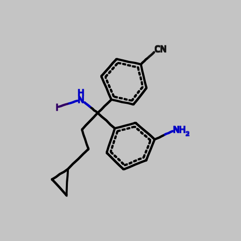 N#Cc1ccc(C(CCC2CC2)(NI)c2cccc(N)c2)cc1